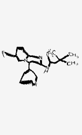 CC(C)(C)CC(=O)Nc1nc2ccc(F)cn2c1-c1cccnc1